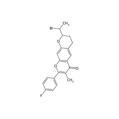 Cc1c(-c2ccc(F)cc2)oc2cc3c(cc2c1=O)CCC(C(C)Br)O3